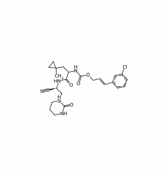 CC1(CC(NC(=O)OC/C=C/c2cccc(Cl)c2)C(=O)N[C@H](C#N)C[Si@@H]2CCCNC2=O)CC1